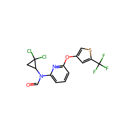 O=CN(c1cccc(Oc2csc(C(F)(F)F)c2)n1)C1CC1(Cl)Cl